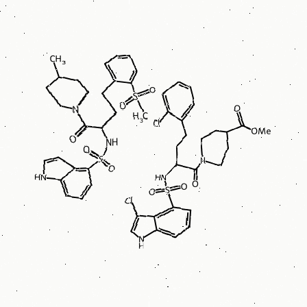 CC1CCN(C(=O)C(CCc2ccccc2S(C)(=O)=O)NS(=O)(=O)c2cccc3[nH]ccc23)CC1.COC(=O)C1CCN(C(=O)C(CCc2ccccc2Cl)NS(=O)(=O)c2cccc3[nH]cc(Cl)c23)CC1